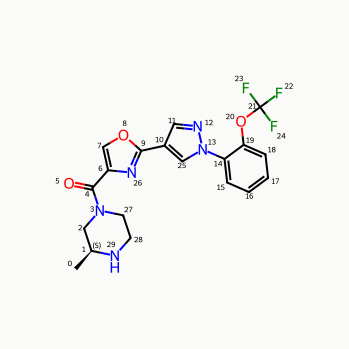 C[C@H]1CN(C(=O)c2coc(-c3cnn(-c4ccccc4OC(F)(F)F)c3)n2)CCN1